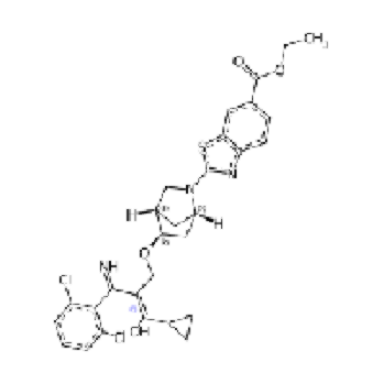 CCOC(=O)c1ccc2nc(N3C[C@@H]4C[C@H]3C[C@H]4OC/C(C(=N)c3c(Cl)cccc3Cl)=C(/O)C3CC3)sc2c1